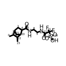 CC1C2CC(C(=O)NCCNC(=O)C(F)(F)S(=O)(=O)O)C(C2)C1C